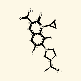 Cc1c(N2CC[C@H]([C@H](C)N)C2)c(F)cc2cc(C(=O)O)c(=O)n(C3CC3)c12